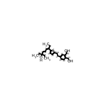 CC/C(=C/C=C/C(O)(CC)CC)c1ccc(CCc2ccc(CO)c(CO)c2)s1